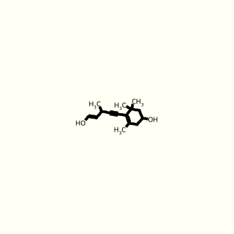 CC1=C(C#CC(C)C=CO)C(C)(C)CC(O)C1